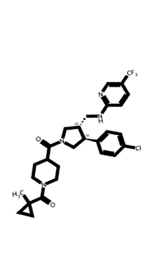 CC1(C(=O)N2CCC(C(=O)N3C[C@H](CNc4ccc(C(F)(F)F)cn4)[C@@H](c4ccc(Cl)cc4)C3)CC2)CC1